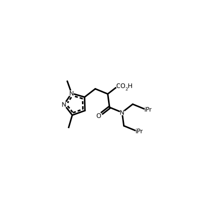 Cc1cc(CC(C(=O)O)C(=O)N(CC(C)C)CC(C)C)n(C)n1